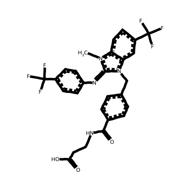 Cn1c(=Nc2ccc(C(F)(F)F)cc2)n(Cc2ccc(C(=O)NCCC(=O)O)cc2)c2cc(C(F)(F)F)ccc21